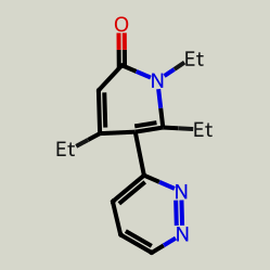 CCc1cc(=O)n(CC)c(CC)c1-c1cccnn1